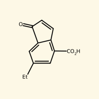 CCc1cc(C(=O)O)c2c(c1)C(=O)C=C2